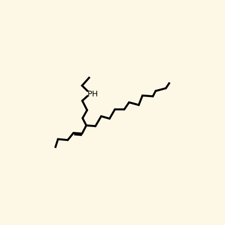 CCCC=CC(CCCCCCCCCCCC)CCCPCC